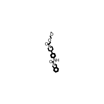 COCCOCC(=O)N1CCC(c2ccc(NC(=O)N3Cc4ccccc4C3)cc2)CC1